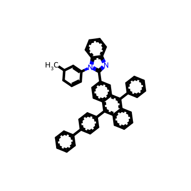 CC1C=C(n2c(-c3ccc4c(-c5ccc(-c6ccccc6)cc5)c5ccccc5c(-c5ccccc5)c4c3)nc3ccccc32)C=CC1